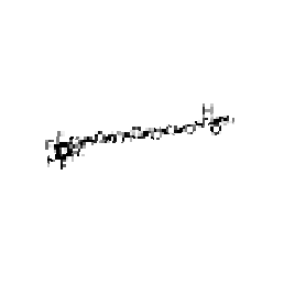 O=C(CBr)NCCOCCOCCOCCOCCOCCOCCC(=O)Oc1c(F)c(F)c(F)c(F)c1F